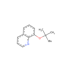 CC(C)(C)[Si](C)(C)Oc1cccc2cccnc12